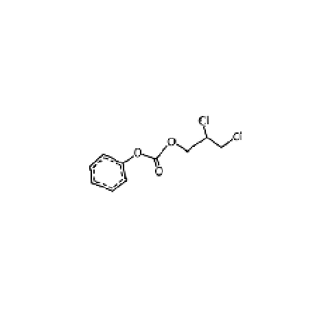 O=C(OCC(Cl)CCl)Oc1ccccc1